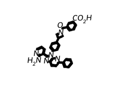 Nc1ncccc1-c1nc2ccc(-c3ccccc3)nc2n1-c1ccc(C2CN(C(=O)c3cccc(C(=O)O)c3)C2)cc1